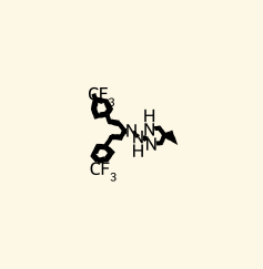 FC(F)(F)c1ccc(C=CC(C=Cc2ccc(C(F)(F)F)cc2)=NNC2=NCC3(CC3)CN2)cc1